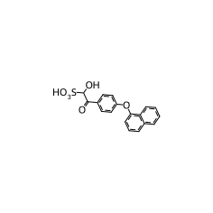 O=C(c1ccc(Oc2cccc3ccccc23)cc1)C(O)S(=O)(=O)O